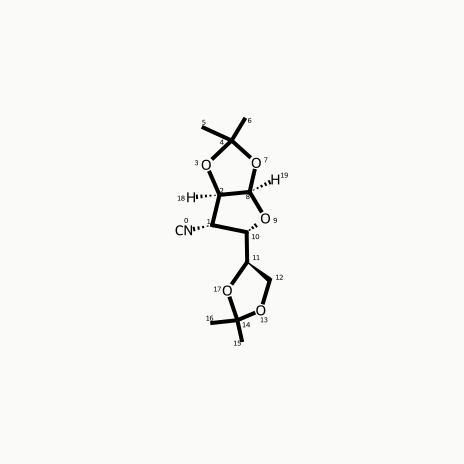 [C-]#[N+][C@@H]1[C@H]2OC(C)(C)O[C@H]2O[C@@H]1[C@H]1COC(C)(C)O1